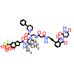 CC(C)(C)[C@H](NC(=O)C1=Cc2cc(C(F)(F)P(=O)(O)O)ccc2C1)C(=O)N1CSN(C(=O)CC(=O)NCC#Cc2cccc3c2C(=O)N(C2CCC(=O)NC2=O)C3=O)C[C@H]1C(=O)N1CCCC(c2ccccc2)C1